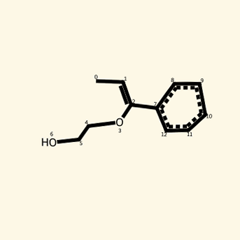 C/C=C(\OCCO)c1ccccc1